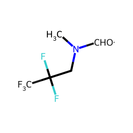 CN([C]=O)CC(F)(F)C(F)(F)F